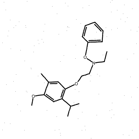 CCN(CCOc1cc(C)c(OC)cc1C(C)C)Oc1ccccc1